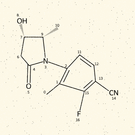 Cc1c(N2C(=O)C[C@H](O)[C@@H]2C)ccc(C#N)c1F